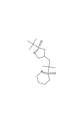 CC(C)(C)S1(=O)=NCC(CC(C)(C)S2(=O)=NCCCC2)C1